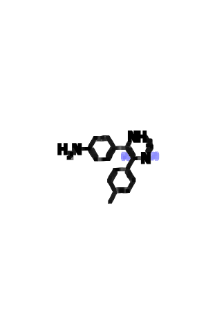 C/C=N\C(=C(/N)c1ccc(N)cc1)c1ccc(C)cc1